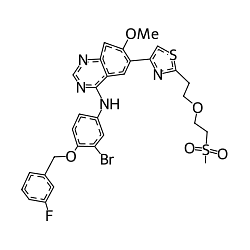 COc1cc2ncnc(Nc3ccc(OCc4cccc(F)c4)c(Br)c3)c2cc1-c1csc(CCOCCS(C)(=O)=O)n1